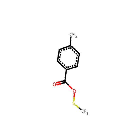 O=C(OSC(F)(F)F)c1ccc(C(F)(F)F)cc1